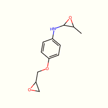 CC1OC1Nc1ccc(OCC2CO2)cc1